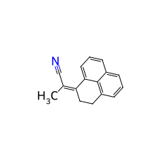 C/C(C#N)=C1\CCc2cccc3cccc1c23